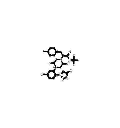 Cc1ccc(CC(C(=O)OC(C)(C)C)N2CC(=O)N(c3cc(Cl)ccc3-n3cc(Cl)nn3)CC2=O)cc1